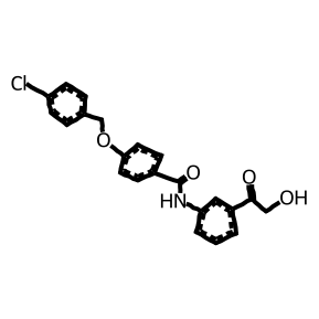 O=C(CO)c1cccc(NC(=O)c2ccc(OCc3ccc(Cl)cc3)cc2)c1